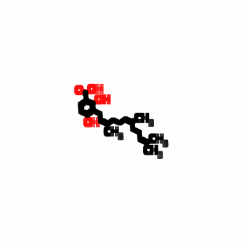 CC(C)=CCCC(C)=CCCC(C)=CCc1c(O)ccc(C(=O)O)c1O